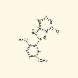 COc1ccc(OC)c(-c2cc3c(Cl)ncnc3[nH]2)c1